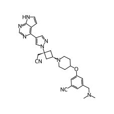 CN(C)Cc1cc(C#N)cc(OC2CCN([C@H]3C[C@](CC#N)(n4cc(-c5ncnc6[nH]ccc56)cn4)C3)CC2)c1